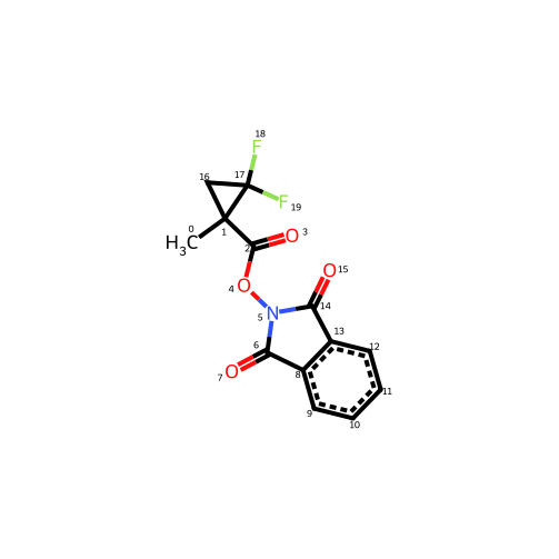 CC1(C(=O)ON2C(=O)c3ccccc3C2=O)CC1(F)F